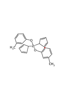 Cc1cccc([O][Zr]([O]c2cccc(C)c2)([CH]2C=CC=C2)[CH]2C=CC=C2)c1